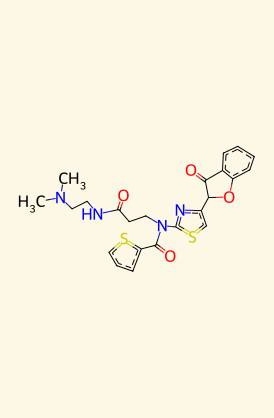 CN(C)CCNC(=O)CCN(C(=O)c1cccs1)c1nc(C2Oc3ccccc3C2=O)cs1